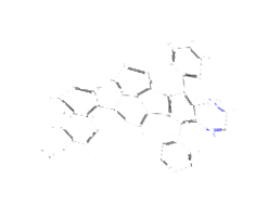 N#Cc1ccc2c(-c3ccc4c5c(cccc35)-c3c-4c(-c4ccccc4)c4nccnc4c3-c3ccccc3)cccc2c1